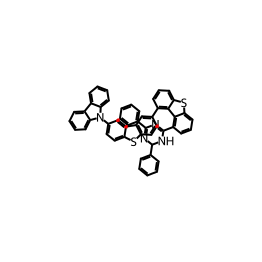 c1ccc(C2=NC(c3ccccc3)NC(c3cccc4sc5cccc(-c6ccc7sc8ccc(-n9c%10ccccc%10c%10ccccc%109)cc8c7c6)c5c34)=N2)cc1